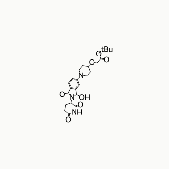 CC(C)(C)OC(=O)COC1CCN(c2ccc3c(c2)C(O)N(C2CCC(=O)NC2=O)C3=O)CC1